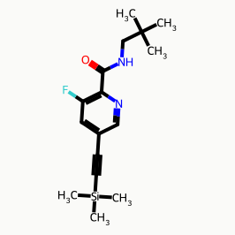 CC(C)(C)CNC(=O)c1ncc(C#C[Si](C)(C)C)cc1F